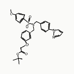 COc1ccc(S(=O)(=O)N(Cc2ccc(-n3cccn3)cc2)Cc2cccc(OCC(=O)OC(C)(C)C)c2)cc1